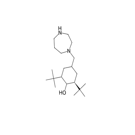 CC(C)(C)C1CC(CN2CCCNCC2)C[C@@H](C(C)(C)C)C1O